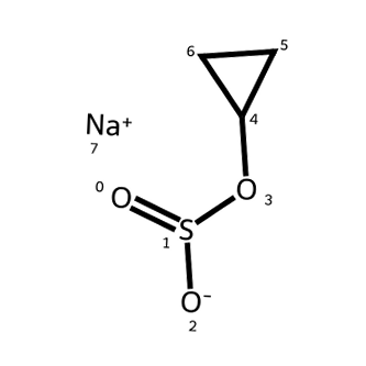 O=S([O-])OC1CC1.[Na+]